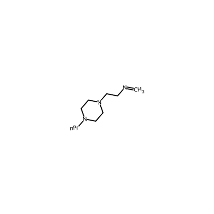 C=NCCN1CCN(CCC)CC1